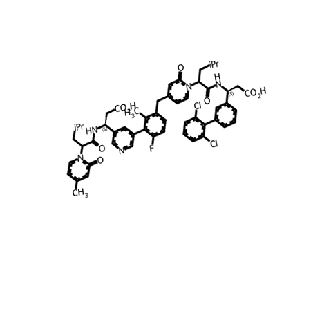 Cc1ccn(C(CC(C)C)C(=O)N[C@@H](CC(=O)O)c2cncc(-c3c(F)ccc(Cc4ccn(C(CC(C)C)C(=O)N[C@@H](CC(=O)O)c5cccc(-c6c(Cl)cccc6Cl)c5)c(=O)c4)c3C)c2)c(=O)c1